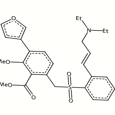 CCN(CC)C/C=C/c1ccccc1S(=O)(=O)Cc1ccc(-c2ccoc2)c(OC)c1C(=O)OC